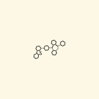 c1ccc(C2=c3ccccc3=C(c3ccc(-c4cccc5c4sc4ccccc45)cc3)c3ccccc3C2)cc1